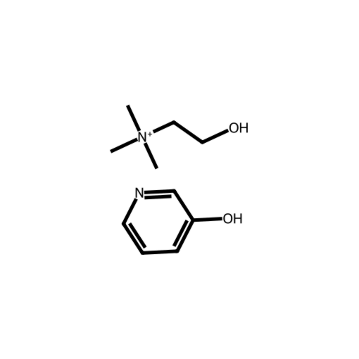 C[N+](C)(C)CCO.Oc1cccnc1